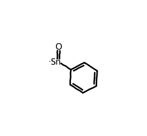 [O]=[Sn][c]1ccccc1